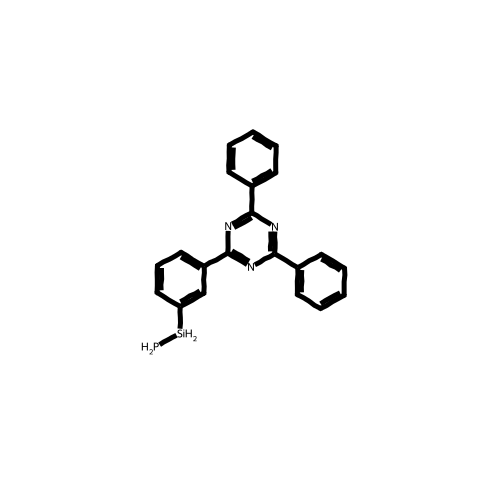 P[SiH2]c1cccc(-c2nc(-c3ccccc3)nc(-c3ccccc3)n2)c1